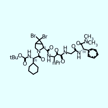 CCCC(NC(=O)[C@@H]1C2C(CN1C(=O)[C@@H](NC(=O)OC(C)(C)C)C1CCCCC1)C2(Br)Br)C(=O)C(=O)NCC(=O)N[C@H](C(=O)N(C)C)c1ccccc1